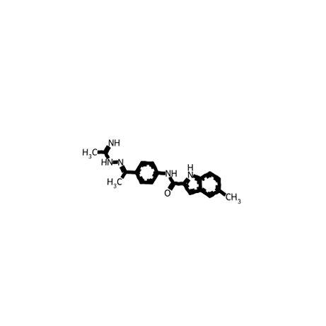 CC(=N)N/N=C(\C)c1ccc(NC(=O)c2cc3cc(C)ccc3[nH]2)cc1